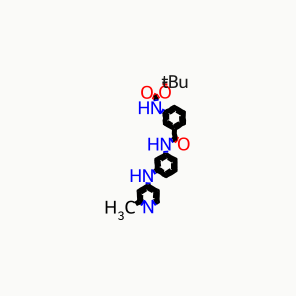 Cc1cc(Nc2cccc(NC(=O)c3cccc(NC(=O)OC(C)(C)C)c3)c2)ccn1